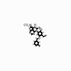 O=C(O)c1sc2ncnc3c2c1NC(=O)N3c1cc(OCc2cccc(F)c2)c(CI)cc1Cl